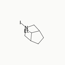 CCC1C2CCC1CN(I)C2